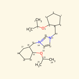 CC(C)OC1CCCCC1Cn1cc[n+](CC2CCCCC2OC(C)C)c1